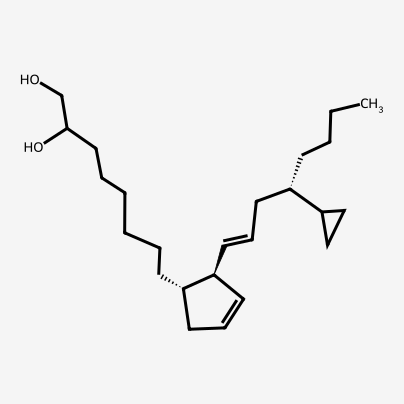 CCCC[C@@H](CC=C[C@H]1C=CC[C@@H]1CCCCCCC(O)CO)C1CC1